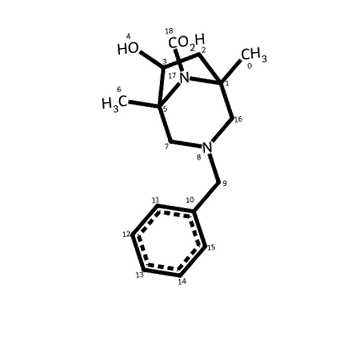 CC12CC(O)C(C)(CN(Cc3ccccc3)C1)N2C(=O)O